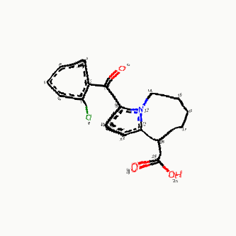 O=C(c1ccccc1Cl)c1ccc2n1CCCCC2C(=O)O